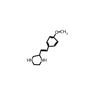 COc1ccc(C=CC2CNCCN2)cc1